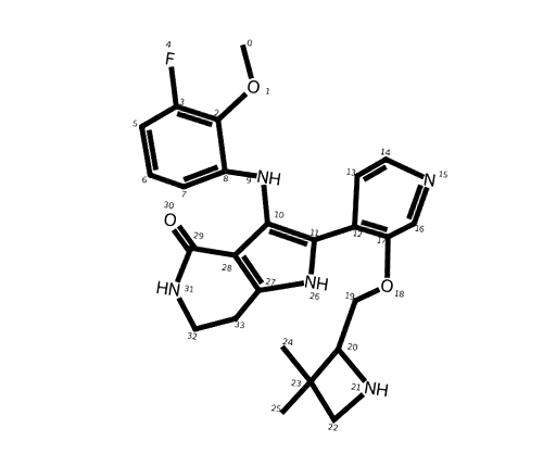 COc1c(F)cccc1Nc1c(-c2ccncc2OCC2NCC2(C)C)[nH]c2c1C(=O)NCC2